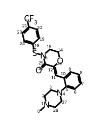 CN1CCN(c2ccccc2C=C2OCCN(Sc3ccc(C(F)(F)F)cc3)C2=O)CC1